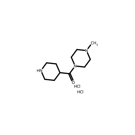 CN1CCN(C(=O)C2CCNCC2)CC1.Cl.Cl